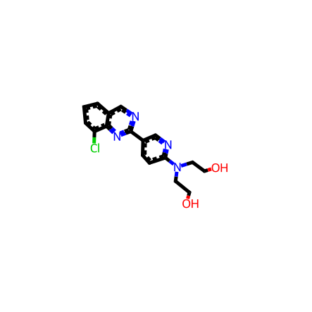 OCCN(CCO)c1ccc(-c2ncc3cccc(Cl)c3n2)cn1